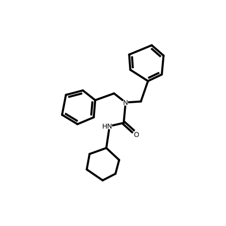 O=C(NC1CCCCC1)N(Cc1ccccc1)Cc1ccccc1